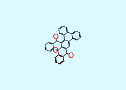 O=C(c1ccccc1)c1cc2c3ccccc3c3ccccc3c2c(C(=O)c2ccccc2)c1C(=O)c1ccccc1